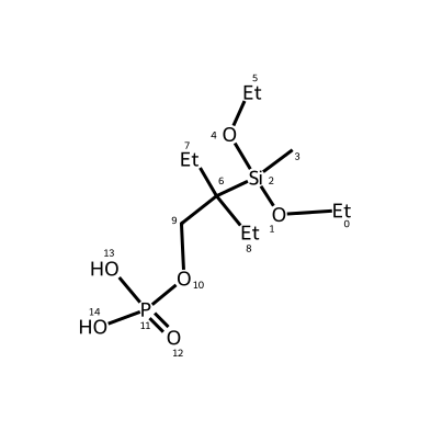 CCO[Si](C)(OCC)C(CC)(CC)COP(=O)(O)O